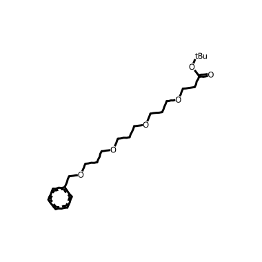 CC(C)(C)OC(=O)CCOCCCOCCCOCCCOCc1ccccc1